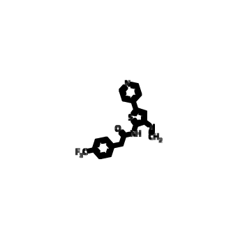 C=Nc1cc(-c2ccncc2)sc1NC(=O)Cc1ccc(C(F)(F)F)cc1